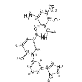 Cc1cc(C(=O)N[C@H](C)c2cc(N)cc(C(F)(F)F)c2F)nn(-c2cncc(-c3cnnn3C)c2)c1=O